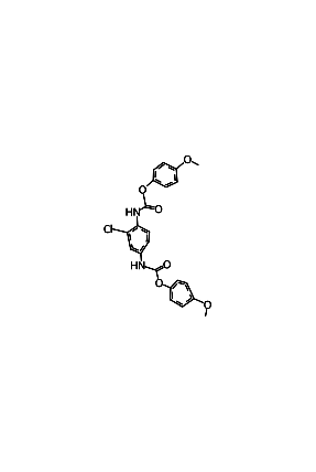 COc1ccc(OC(=O)Nc2ccc(NC(=O)Oc3ccc(OC)cc3)c(Cl)c2)cc1